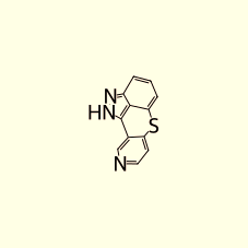 c1cc2c3c([nH]nc3c1)-c1cnccc1S2